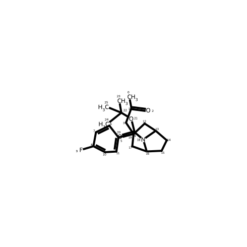 CC(=O)CC1(c2ccc(F)cc2)CC2CCC(C1)N2C(=O)OC(C)(C)C